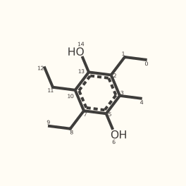 CCc1c(C)c(O)c(CC)c(CC)c1O